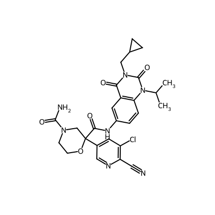 CC(C)n1c(=O)n(CC2CC2)c(=O)c2cc(NC(=O)C3(c4cnc(C#N)c(Cl)c4)CN(C(N)=O)CCO3)ccc21